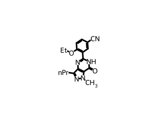 CCCc1nn(C)c2c(=O)[nH]c(-c3cc(C#N)ccc3OCC)nc12